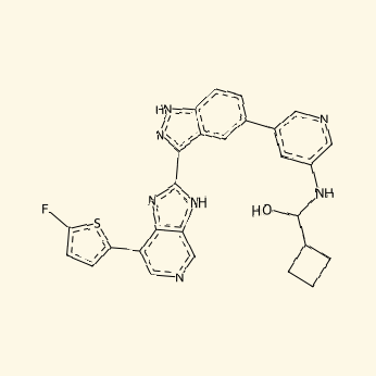 OC(Nc1cncc(-c2ccc3[nH]nc(-c4nc5c(-c6ccc(F)s6)cncc5[nH]4)c3c2)c1)C1CCC1